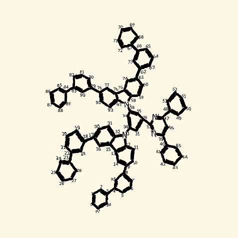 c1ccc(-c2cccc(-c3ccc4c(c3)c3cc(-c5cccc(-c6ccccc6)c5)ccc3n4-c3cc(-c4nc(-c5ccccc5)cc(-c5ccccc5)n4)cc(-n4c5ccc(-c6cccc(-c7ccccc7)c6)cc5c5cc(-c6cccc(-c7ccccc7)c6)ccc54)c3)c2)cc1